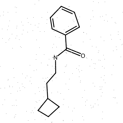 O=C([N]CCC1CCC1)c1ccccc1